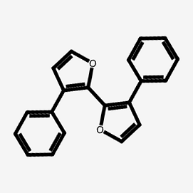 c1ccc(-c2ccoc2-c2occc2-c2ccccc2)cc1